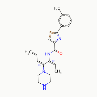 C=C/C=C(\C(=C/C)NC(=O)c1csc(-c2cccc(C(F)(F)F)c2)n1)N1CCNCC1